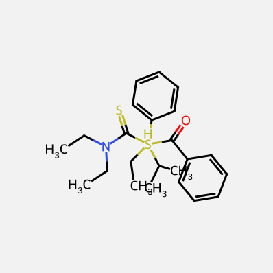 CCN(CC)C(=S)[SH](CC)(C(=O)c1ccccc1)(c1ccccc1)C(C)C